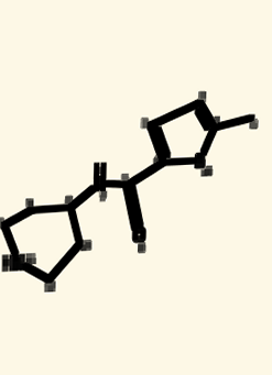 Cc1ccc(C(=O)NC2CCNCC2)s1